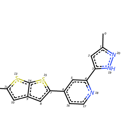 Cc1cc(-c2cc(-c3cc4cc(C)sc4s3)ccn2)[nH]n1